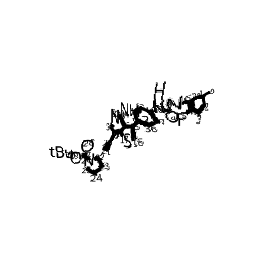 Cc1ccc(F)c(NC(=O)Nc2ccc(-c3csc4c(C#C[C@@H]5CCCN5C(=O)OC(C)(C)C)cnc(N)c34)cc2)c1